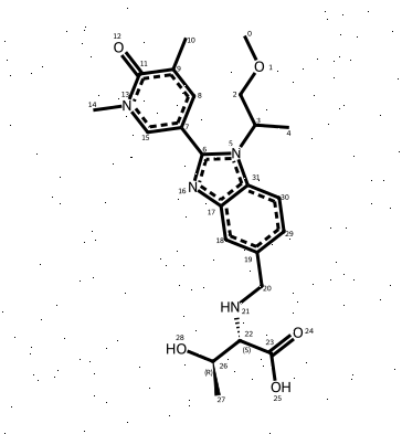 COCC(C)n1c(-c2cc(C)c(=O)n(C)c2)nc2cc(CN[C@H](C(=O)O)[C@@H](C)O)ccc21